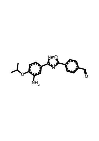 CC(C)Oc1ccc(-c2noc(-c3ccc(C=O)cc3)n2)cc1N